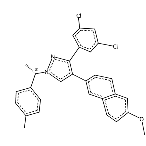 COc1ccc2cc(-c3cn([C@@H](C)c4ccc(C)cc4)nc3-c3cc(Cl)cc(Cl)c3)ccc2c1